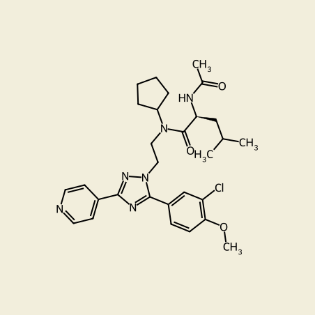 COc1ccc(-c2nc(-c3ccncc3)nn2CCN(C(=O)[C@H](CC(C)C)NC(C)=O)C2CCCC2)cc1Cl